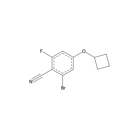 N#Cc1c(F)cc(OC2CCC2)cc1Br